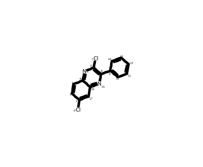 Clc1ccc2nc(Cl)c(-c3ccccc3)nc2c1